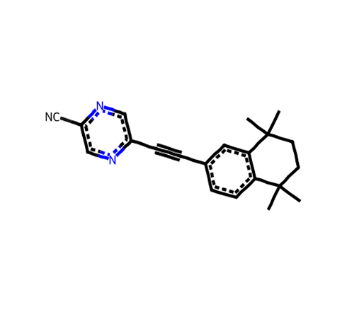 CC1(C)CCC(C)(C)c2cc(C#Cc3cnc(C#N)cn3)ccc21